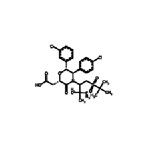 CC(C)(C)C(CS(=O)(=O)C(C)(C)C)N1C(=O)[C@H](CC(=O)O)O[C@H](c2cccc(Cl)c2)[C@H]1c1ccc(Cl)cc1